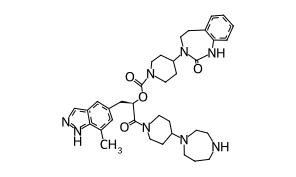 Cc1cc(C[C@@H](OC(=O)N2CCC(N3CCc4ccccc4NC3=O)CC2)C(=O)N2CCC(N3CCCNCC3)CC2)cc2cn[nH]c12